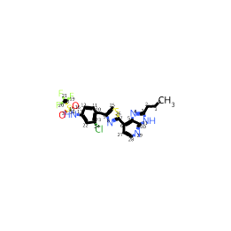 CCCc1nc2c(-c3nc(-c4ccc(NS(=O)(=O)C(F)(F)F)cc4Cl)cs3)ccnc2[nH]1